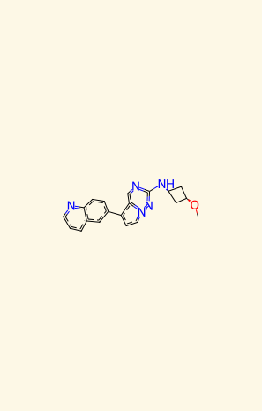 CO[C@H]1C[C@@H](Nc2ncc3c(-c4ccc5ncccc5c4)ccn3n2)C1